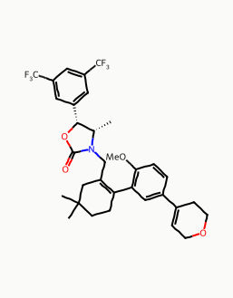 COc1ccc(C2=CCOCC2)cc1C1=C(CN2C(=O)O[C@H](c3cc(C(F)(F)F)cc(C(F)(F)F)c3)[C@@H]2C)CC(C)(C)CC1